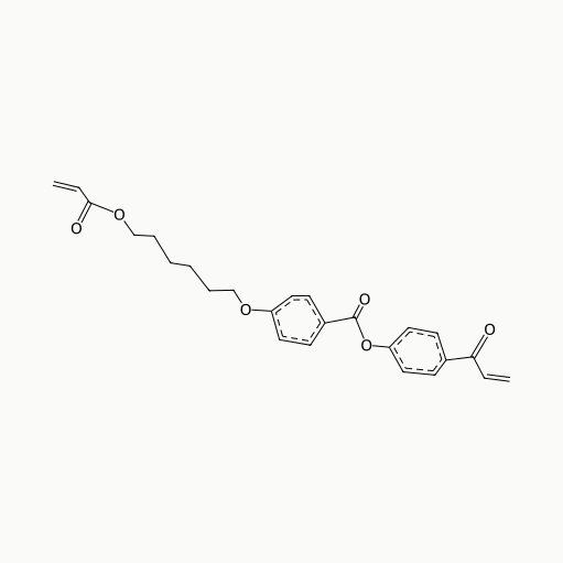 C=CC(=O)OCCCCCCOc1ccc(C(=O)Oc2ccc(C(=O)C=C)cc2)cc1